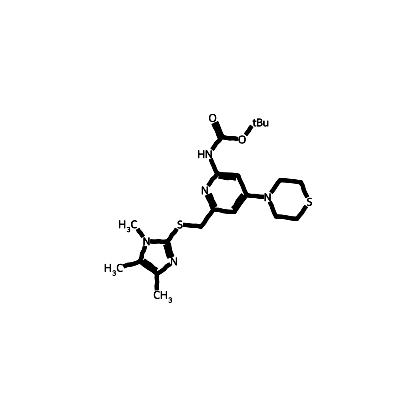 Cc1nc(SCc2cc(N3CCSCC3)cc(NC(=O)OC(C)(C)C)n2)n(C)c1C